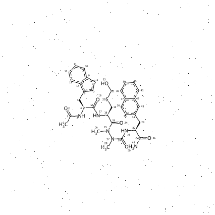 CC(=O)N[C@@H](Cc1csc2ccccc12)C(=O)N[C@@H](CSCO)C(=O)N(C)N(C)C(=O)N[C@@H](Cc1ccc2ccccc2c1)C(N)=O